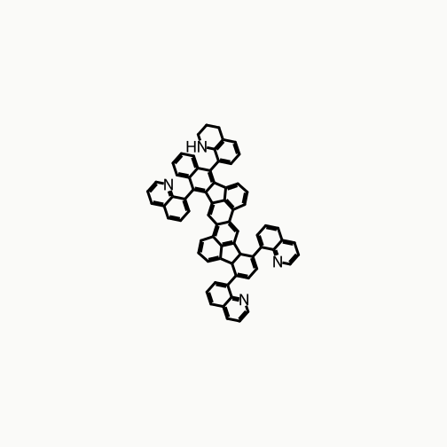 C1=C(c2cccc3cccnc23)C2c3cccc4c3c(cc3c5cccc6c5c(cc43)-c3c-6c(-c4cccc5c4NCCC5)c4ccccc4c3-c3cccc4cccnc34)C2C(c2cccc3cccnc23)=C1